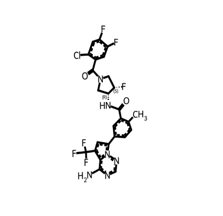 Cc1ccc(-c2cc(C(F)(F)F)c3c(N)ncnn23)cc1C(=O)N[C@@H]1CN(C(=O)c2cc(F)c(F)cc2Cl)C[C@@H]1F